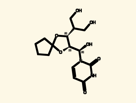 O=c1ccn([C@H](O)[C@@H]2OC3(CCCC3)O[C@@H]2C(CO)CO)c(=O)[nH]1